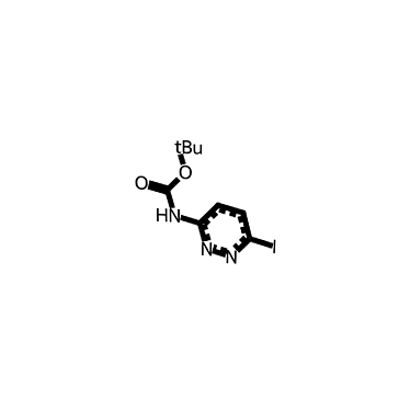 CC(C)(C)OC(=O)Nc1ccc(I)nn1